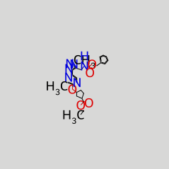 CCOC(=O)C1CCC(Oc2ncc(-c3nnn(C)c3CNC(=O)OCc3ccccc3)nc2C)C1